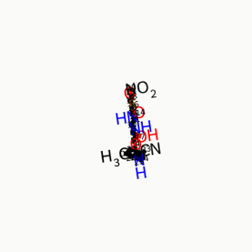 Cc1cc(OCC(O)CNCCNC(=O)CSCCO[N+](=O)[O-])c2c(C#N)c[nH]c2c1